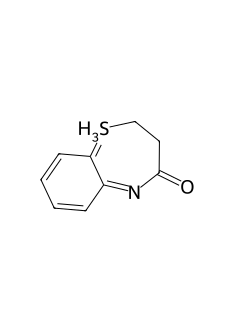 O=C1CC[SH3]=c2ccccc2=N1